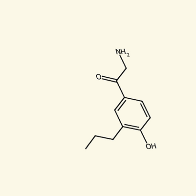 CCCc1cc(C(=O)CN)ccc1O